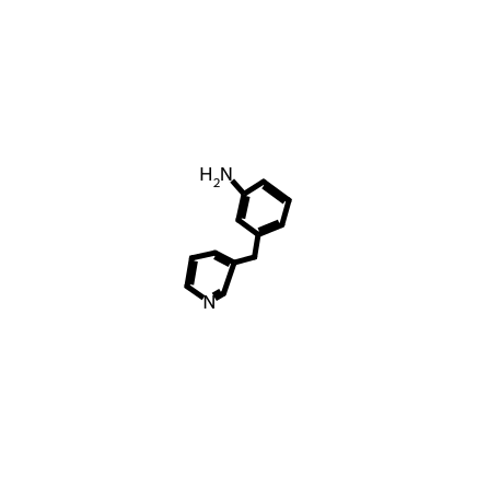 Nc1cccc(Cc2cccnc2)c1